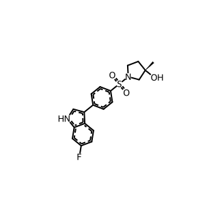 C[C@]1(O)CCN(S(=O)(=O)c2ccc(-c3c[nH]c4cc(F)ccc34)cc2)C1